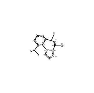 CC(C)c1cccc(C(C)C)c1-[n+]1ccoc1C(=O)[O-]